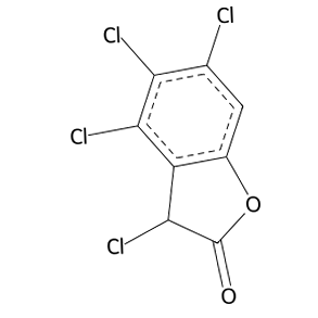 O=C1Oc2cc(Cl)c(Cl)c(Cl)c2C1Cl